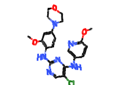 COc1ccc(Nc2nc(Nc3ccc(N4CCOCC4)cc3OC)ncc2Cl)cn1